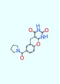 O=C(c1ccc2c(c1)Cc1c([nH]c(=O)[nH]c1=O)O2)N1CCCC1